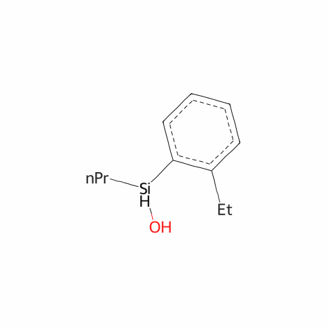 CCC[SiH](O)c1ccccc1CC